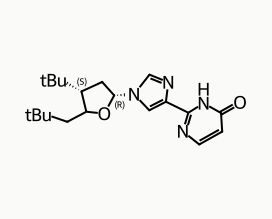 CC(C)(C)CC1O[C@@H](n2cnc(-c3nccc(=O)[nH]3)c2)C[C@H]1C(C)(C)C